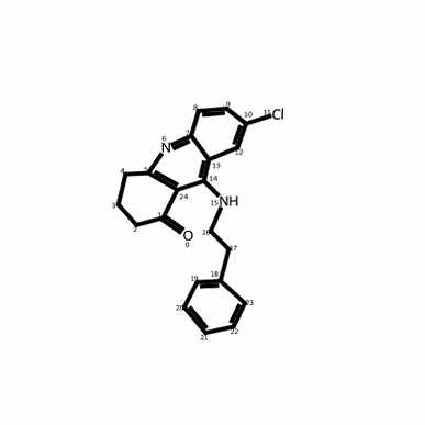 O=C1CCCc2nc3ccc(Cl)cc3c(NCCc3ccccc3)c21